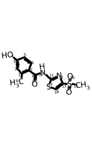 Cc1cc(O)ccc1C(=O)Nc1nc(S(C)(=O)=O)cs1